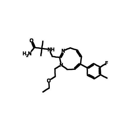 CCOCCN1C/C=C(c2ccc(C)c(F)c2)\C=C/C/N=C\1CNC(C)(C)C(N)=O